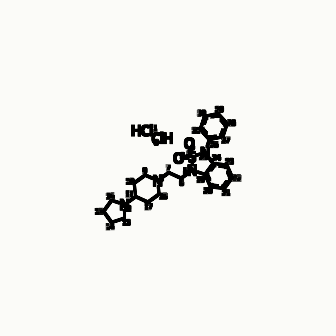 Cl.Cl.O=S1(=O)N(CCN2CCC(N3CCCC3)CC2)c2ccccc2N1c1ccccc1